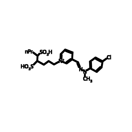 CCCC(C(CCC[n+]1cccc(C=NN(C)c2ccc(Cl)cc2)c1)S(=O)(=O)O)S(=O)(=O)O